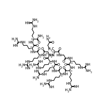 C[C@H](N)C(=O)NCC(=O)N[C@@H](CCCNC(=N)N)C(=O)N[C@@H](CCCNC(=N)N)C(=O)N[C@@H](CCCNC(=N)N)C(=O)N[C@@H](CCCNC(=N)N)C(=O)N[C@@H](CCCNC(=N)N)C(=O)N[C@@H](CCC(N)=O)C(=O)N[C@@H](CCCNC(=N)N)C(=O)N[C@@H](CCCNC(=N)N)C(=O)N[C@@H](CCCNC(=N)N)C(N)=O